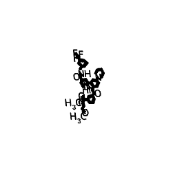 COCCN(C)C(=O)c1cccc(C(=O)Nc2ccc(N3CCCCC3)cc2-c2cc(C(=O)NCc3cccc(C(F)(F)F)c3)ccn2)c1